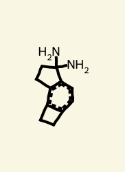 NC1(N)CCc2c1ccc1c2CC1